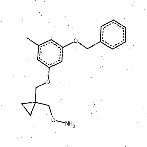 Cc1cc(OCc2ccccc2)cc(OCC2(CON)CC2)c1